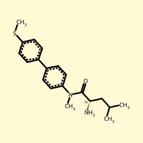 CSc1ccc(-c2ccc(N(C)C(=O)[C@@H](N)CC(C)C)cc2)cc1